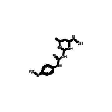 CC1CC(NO)NC(NC(=O)Nc2ccc(OC(F)(F)F)cc2)N1